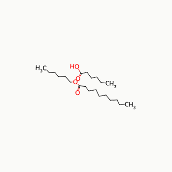 CCCCCC(=O)O.CCCCCCCCCC(=O)OCCCCCC